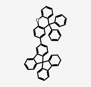 C1=C2C(=CCC1)C1(c3ccccc32)c2ccccc2-c2cc(-c3ccc4c(c3)C(c3ccccc3)(c3ccccc3)c3ccccc3O4)ccc21